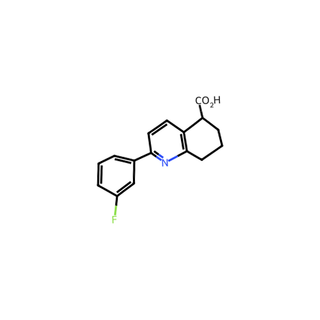 O=C(O)C1CCCc2nc(-c3cccc(F)c3)ccc21